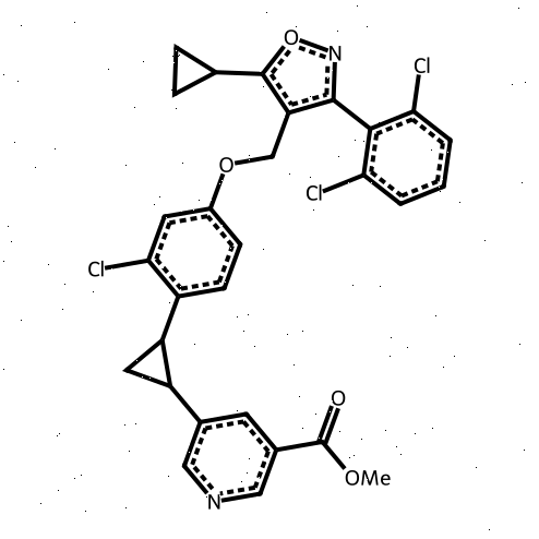 COC(=O)c1cncc(C2CC2c2ccc(OCc3c(-c4c(Cl)cccc4Cl)noc3C3CC3)cc2Cl)c1